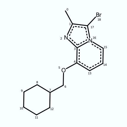 Cc1nc2c(OCC3CCCCC3)cccn2c1Br